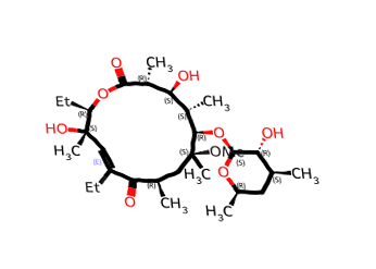 CC/C1=C\[C@](C)(O)[C@@H](CC)OC(=O)[C@H](C)[C@@H](O)[C@H](C)[C@@H](O[C@@H]2O[C@H](C)C[C@H](C)[C@H]2O)[C@@](C)(OC)C[C@@H](C)C1=O